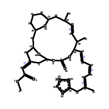 COC(=O)/C=C1\CC2CC(=O)OC(/C=C/C=C\C=C(/C)Cc3nn[nH]n3)C(C)/C=C/C(C)CC3CCCC(CC(C1)O2)O3